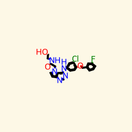 O=C(Cn1ccc2ncnc(Nc3ccc(OCc4cccc(F)c4)c(Cl)c3)c21)NCCO